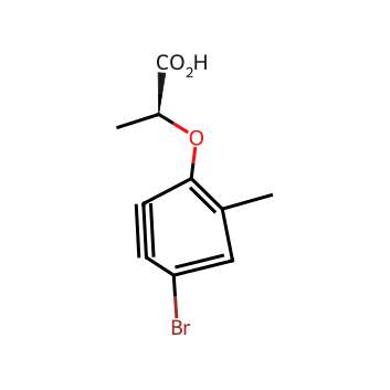 Cc1cc(Br)c#cc1O[C@@H](C)C(=O)O